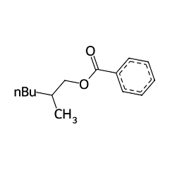 CCCCC(C)COC(=O)c1ccccc1